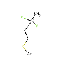 CC(=O)SCC[Si](C)(F)F